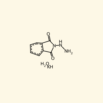 NNN1C(=O)c2ccccc2C1=O.O.[KH]